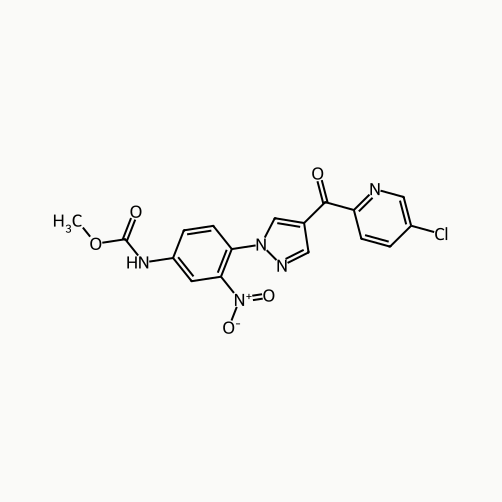 COC(=O)Nc1ccc(-n2cc(C(=O)c3ccc(Cl)cn3)cn2)c([N+](=O)[O-])c1